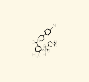 Cc1ccc(C(=O)N2CCC(c3ccc(C#N)cc3)CC2)cc1NS(=O)(=O)C1CCS(=O)(=O)C1